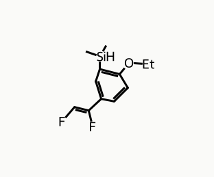 CCOc1ccc(C(F)=CF)cc1[SiH](C)C